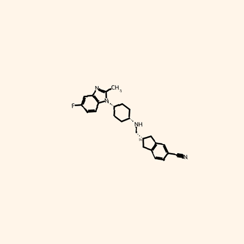 Cc1nc2cc(F)ccc2n1[C@H]1CC[C@@H](NC[C@H]2Cc3ccc(C#N)cc3C2)CC1